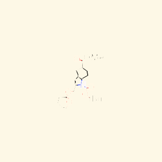 COC(=O)C1=C=C=c2c(cc(CO[C@H]3CCCCO3)n2C(=O)OC(C)(C)C)=C1